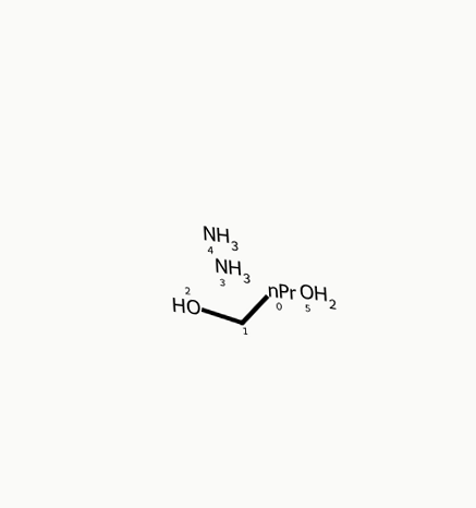 CCCCO.N.N.O